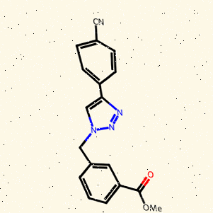 COC(=O)c1cccc(Cn2cc(-c3ccc(C#N)cc3)nn2)c1